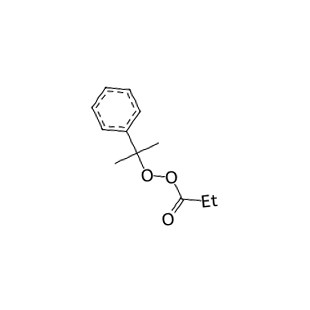 CCC(=O)OOC(C)(C)c1ccccc1